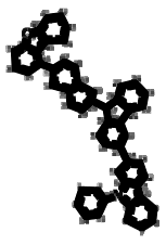 c1ccc(-n2c3ccccc3c3ccc(-c4ccc5c(c4)-c4ccccc4C5c4ccc5cc(-c6cccc7oc8ccccc8c67)ccc5c4)cc32)cc1